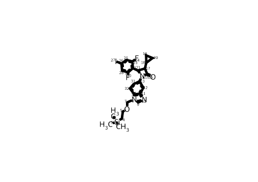 C[Si](C)(C)CCOCn1cnc2cc(N3C(=O)C(C4CC4)C3c3c(F)cc(I)cc3F)ccc21